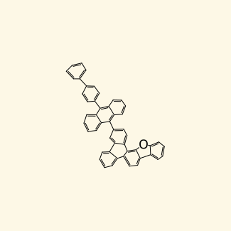 c1ccc(-c2ccc(-c3c4ccccc4c(-c4ccc5c(c4)c4ccccc4c4ccc6c7ccccc7oc6c45)c4ccccc34)cc2)cc1